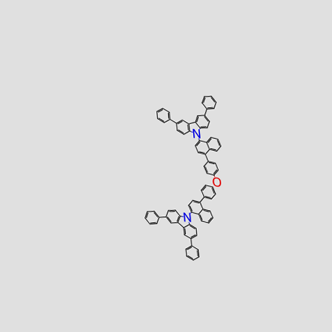 c1ccc(-c2ccc3c(c2)c2cc(-c4ccccc4)ccc2n3-c2ccc(-c3ccc(Oc4ccc(-c5ccc(-n6c7ccc(-c8ccccc8)cc7c7cc(-c8ccccc8)ccc76)c6ccccc56)cc4)cc3)c3ccccc23)cc1